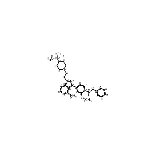 COc1cc(-c2nn(CCN3CCC(N(C)C)CC3)c3ncnc(N)c23)ccc1NCc1ccccc1